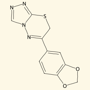 c1cc2c(cc1C1=Nn3cnnc3SC1)OCO2